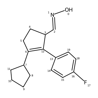 ON=CC1CCC(C2CCCC2)=C1c1ccc(F)cc1